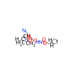 CC(C)N(C(C)C)P(OCCC#N)OCCOCCNC(=O)OCC[C@@H]1[C@@H]2CCC#CCC[C@@H]21